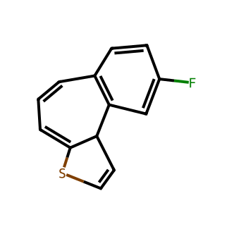 Fc1ccc2c(c1)C1C=CSC1=CC=C2